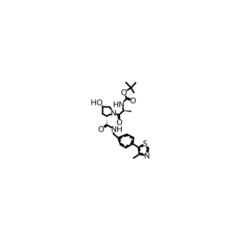 Cc1ncsc1-c1ccc(CNC(=O)[C@@H]2C[C@@H](O)CN2C(=O)[C@H](C)NC(=O)OC(C)(C)C)cc1